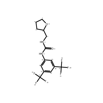 O=C(NCC1CCCO1)Nc1cc(C(F)(F)F)cc(C(F)(F)F)c1